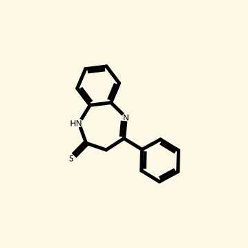 S=C1CC(c2ccccc2)=Nc2ccccc2N1